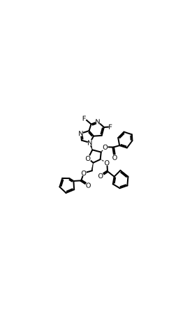 O=C(OC[C@H]1O[C@@H](n2cnc3c(F)nc(F)cc32)[C@H](OC(=O)c2ccccc2)[C@@H]1OC(=O)c1ccccc1)c1ccccc1